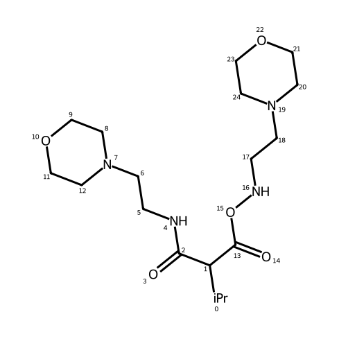 CC(C)C(C(=O)NCCN1CCOCC1)C(=O)ONCCN1CCOCC1